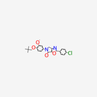 COc1cc(N2Cc3nc(-c4ccc(Cl)cc4)oc3C2=O)ccc1OCC(C)(C)C